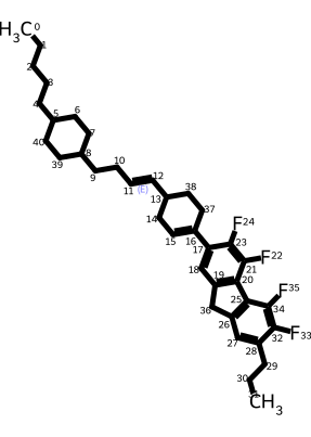 CCCCCC1CCC(CC/C=C/C2CC=C(c3cc4c(c(F)c3F)-c3c(cc(CCC)c(F)c3F)C4)CC2)CC1